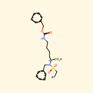 CC(C)CS(=O)(=O)N(Cc1ccccc1)[C@@H](CCCCNC(=O)OCc1ccccc1)C(=O)O